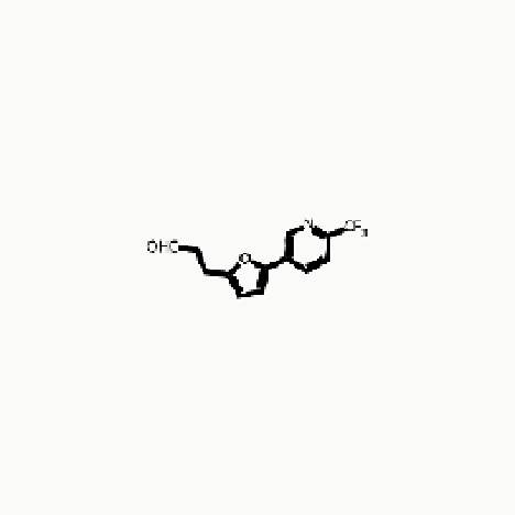 O=CCCc1ccc(-c2ccc(C(F)(F)F)nc2)o1